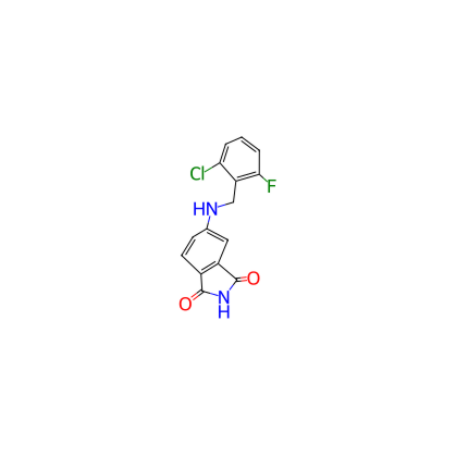 O=C1NC(=O)c2cc(NCc3c(F)cccc3Cl)ccc21